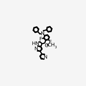 COC(c1c(F)ccc(N(Cc2ccccc2)Cc2ccccc2)c1F)C1CNc2ncc(-c3cccnc3)cc21